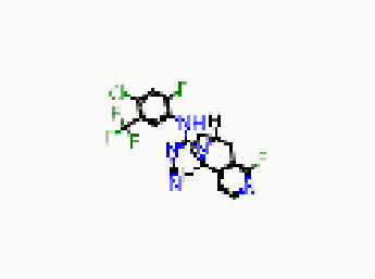 N#CN=C(Nc1cc(C(F)(F)F)c(Cl)cc1F)N1[C@@H]2CC[C@H]1c1ccnc(F)c1C2